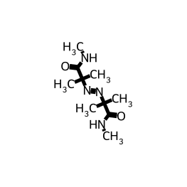 CNC(=O)C(C)(C)N=NC(C)(C)C(=O)NC